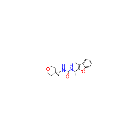 Cc1c([C@H](C)NC(=O)NC2CC23CCOCC3)oc2ccccc12